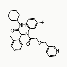 Cc1ccccc1C(C(=O)NC1CCCCC1)N(C(=O)COCc1cccnc1)c1cccc(F)c1